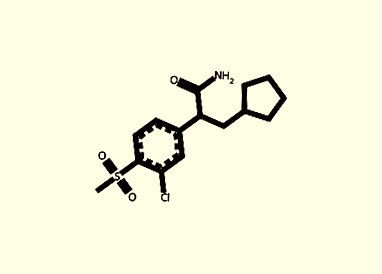 CS(=O)(=O)c1ccc(C(CC2CCCC2)C(N)=O)cc1Cl